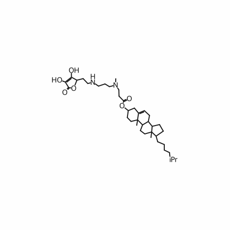 CC(C)CCCCC1CCC2C3CC=C4CC(OC(=O)CCN(C)CCCNCCC5OC(=O)C(O)=C5O)CCC4(C)C3CCC12C